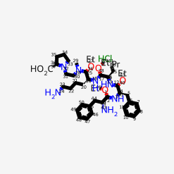 CCOC(N[C@H](Cc1ccccc1)C(N[C@H](CC(C)C)C(N[C@H](CCCCN)C(OCC)N(C)CCN1CCC[C@@H]1C(=O)O)OCC)OCC)[C@H](N)Cc1ccccc1.Cl